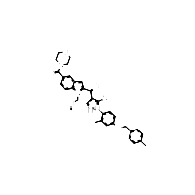 COCn1c(C(=O)c2cnn(-c3ccc(OCc4ccc(C)cc4)cc3C)c2N)cc2cc(C(=O)N3CCOCC3)ccc21